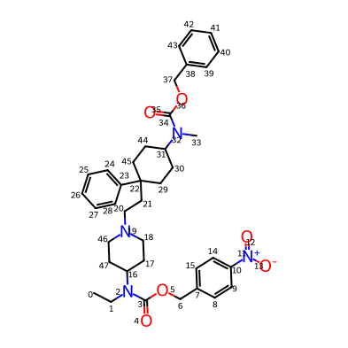 CCN(C(=O)OCc1ccc([N+](=O)[O-])cc1)C1CCN(CCC2(c3ccccc3)CCC(N(C)C(=O)OCc3ccccc3)CC2)CC1